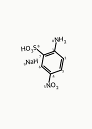 Nc1ccc([N+](=O)[O-])cc1S(=O)(=O)O.[NaH]